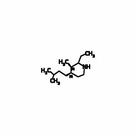 CCC1NCC[C@@H](CCC(C)C)[C@H]1C